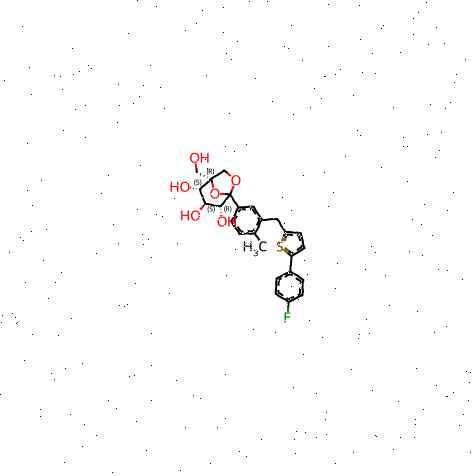 Cc1ccc(C23OC[C@@](CO)(O2)[C@@H](O)[C@H](O)[C@H]3O)cc1Cc1ccc(-c2ccc(F)cc2)s1